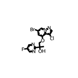 CC(O)(COc1cc(Br)cn2ncc(Cl)c12)c1ncc(F)cn1